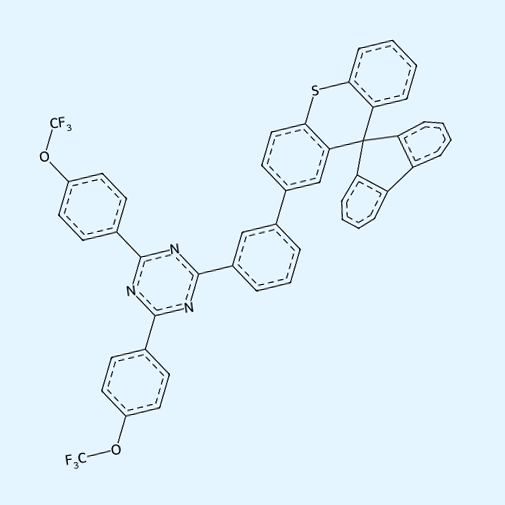 FC(F)(F)Oc1ccc(-c2nc(-c3ccc(OC(F)(F)F)cc3)nc(-c3cccc(-c4ccc5c(c4)C4(c6ccccc6S5)c5ccccc5-c5ccccc54)c3)n2)cc1